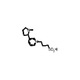 CN1CCCC1c1ccc[n+](CCCS(=O)(=O)O)c1